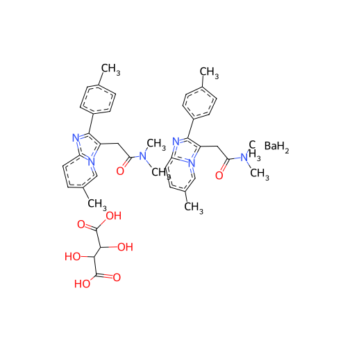 Cc1ccc(-c2nc3ccc(C)cn3c2CC(=O)N(C)C)cc1.Cc1ccc(-c2nc3ccc(C)cn3c2CC(=O)N(C)C)cc1.O=C(O)C(O)C(O)C(=O)O.[BaH2]